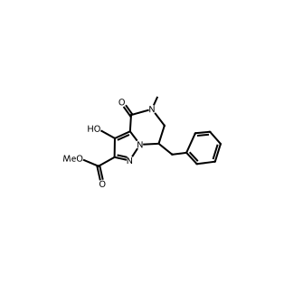 COC(=O)c1nn2c(c1O)C(=O)N(C)CC2Cc1ccccc1